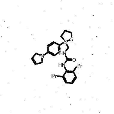 CC(C)c1cccc(C(C)C)c1NC(=O)NCS1(c2ccc(N3CC=CC3)cc2)CCCS1